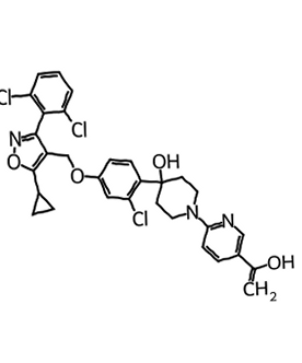 C=C(O)c1ccc(N2CCC(O)(c3ccc(OCc4c(-c5c(Cl)cccc5Cl)noc4C4CC4)cc3Cl)CC2)nc1